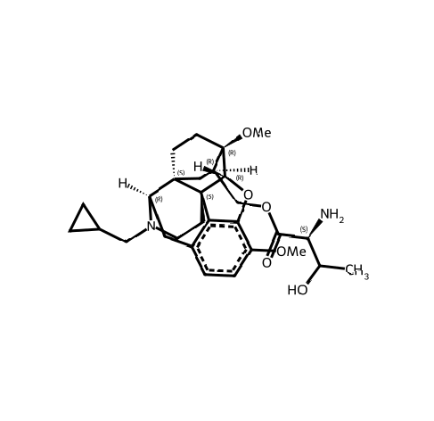 COc1ccc2c3c1O[C@H]1[C@@]4(OC)CC[C@@]5(C[C@@H]4COC(=O)[C@@H](N)C(C)O)[C@@H](C2)N(CC2CC2)CC[C@]315